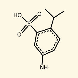 CC(C)c1ccc([NH])cc1S(=O)(=O)O